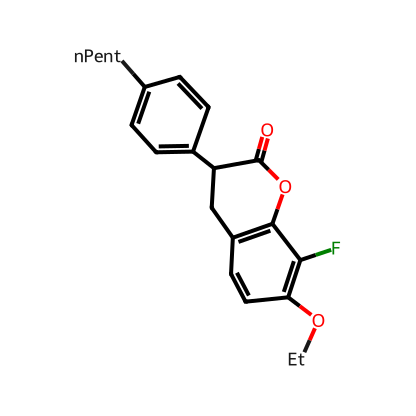 CCCCCc1ccc(C2Cc3ccc(OCC)c(F)c3OC2=O)cc1